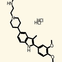 CNCCN1CCC(c2ccc3[nH]c(-c4ccc(OC)c(OC)c4)c(C)c3c2)CC1.Cl.Cl